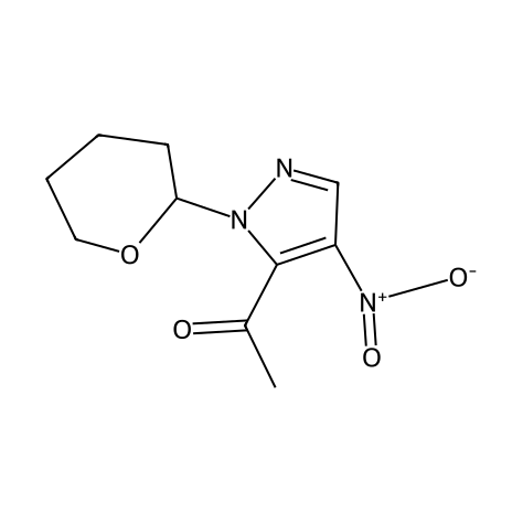 CC(=O)c1c([N+](=O)[O-])cnn1C1CCCCO1